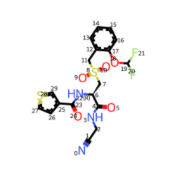 N#CCNC(=O)[C@H](CS(=O)(=O)Cc1ccccc1OC(F)F)NC(=O)c1ccsc1